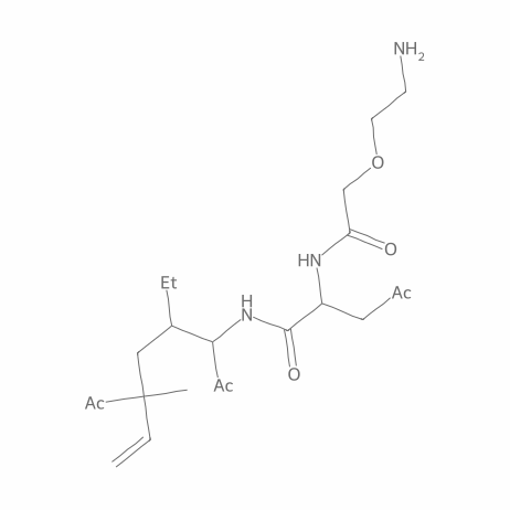 C=CC(C)(CC(CC)C(NC(=O)C(CC(C)=O)NC(=O)COCCN)C(C)=O)C(C)=O